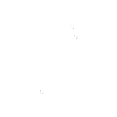 c1ccc(-c2cc(-c3ccc(-c4ccc5sc6c(ccc7c(-c8ccccc8)nc8ccccc8c76)c5c4)cc3)nc(-c3ccccc3)n2)cc1